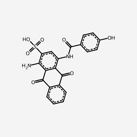 Nc1c(S(=O)(=O)O)cc(NC(=O)c2ccc(O)cc2)c2c1C(=O)c1ccccc1C2=O